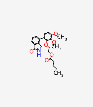 CCCCC(=O)OCCOc1c(-c2cccc3c2CNC3=O)ccc(OC)c1OC